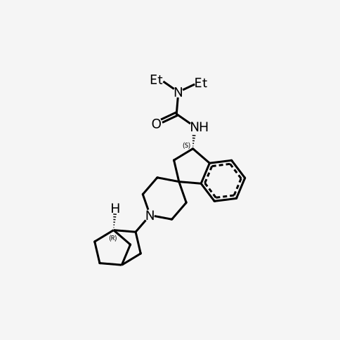 CCN(CC)C(=O)N[C@H]1CC2(CCN(C3CC4CC[C@@H]3C4)CC2)c2ccccc21